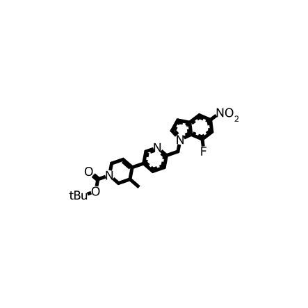 CC1CN(C(=O)OC(C)(C)C)CC=C1c1ccc(Cn2ccc3cc([N+](=O)[O-])cc(F)c32)nc1